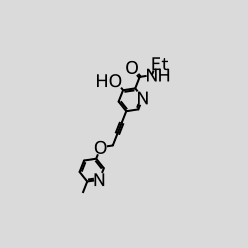 CCNC(=O)c1ncc(C#CCOc2ccc(C)nc2)cc1O